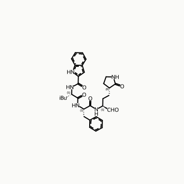 CCC(C)[C@H](NC(=O)c1cc2ccccc2[nH]1)C(=O)N[C@@H](Cc1ccccc1)C(=O)N[C@H](C=O)CC[C@@H]1CCNC1=O